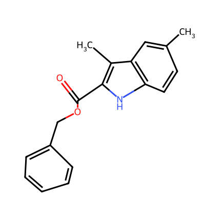 Cc1ccc2[nH]c(C(=O)OCc3ccccc3)c(C)c2c1